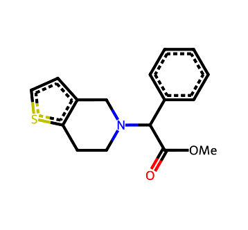 COC(=O)C(c1ccccc1)N1CCc2sccc2C1